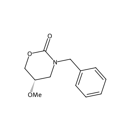 CO[C@@H]1COC(=O)N(Cc2ccccc2)C1